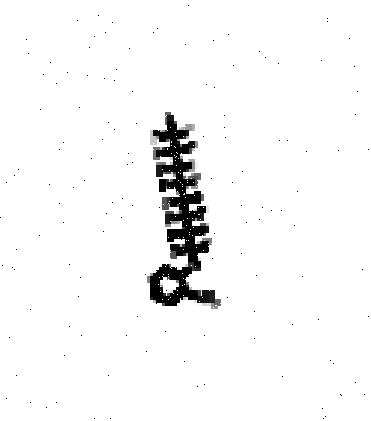 Nc1ccccc1OC(F)(F)C(F)(F)C(F)(F)C(F)(F)C(F)(F)C(F)(F)C(F)(F)C(F)(F)F